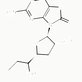 CCC(O)[C@@H]1C[C@@H](O)[C@H](n2c(=O)sc3cnc(N)nc32)O1